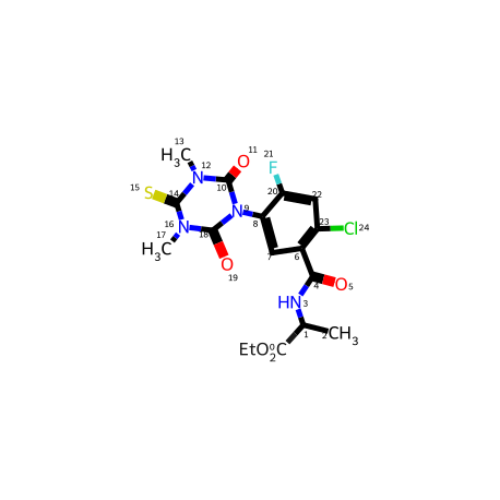 CCOC(=O)C(C)NC(=O)c1cc(-n2c(=O)n(C)c(=S)n(C)c2=O)c(F)cc1Cl